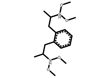 CO[SiH](OC)C(C)Cc1ccccc1CC(C)[SiH](OC)OC